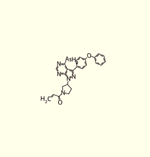 C=CC(=O)N1CCC(n2nc(-c3ccc(Oc4ccccc4)cc3)c3c([AsH2])ncnc32)C1